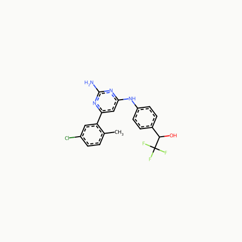 Cc1ccc(Cl)cc1-c1cc(Nc2ccc(C(O)C(F)(F)F)cc2)nc(N)n1